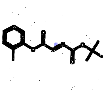 Cc1ccccc1OC(=O)/N=N/C(=O)OC(C)(C)C